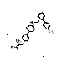 Cc1ccc(-c2ccccc2CNc2cnc(-c3ccc(C[C@H](N)C(=O)O)cc3)cn2)cc1